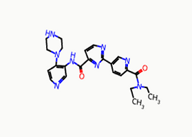 CCN(CC)C(=O)c1ccc(-c2nccc(C(=O)Nc3cnccc3N3CCNCC3)n2)cn1